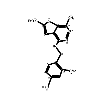 CCOC(=O)c1cc2c(NCc3ccc(OC)cc3OC)nnc(C)c2s1